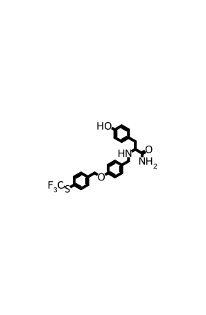 NC(=O)C(Cc1ccc(O)cc1)NCc1ccc(OCc2ccc(SC(F)(F)F)cc2)cc1